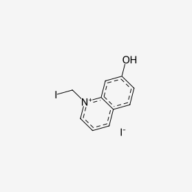 Oc1ccc2ccc[n+](CI)c2c1.[I-]